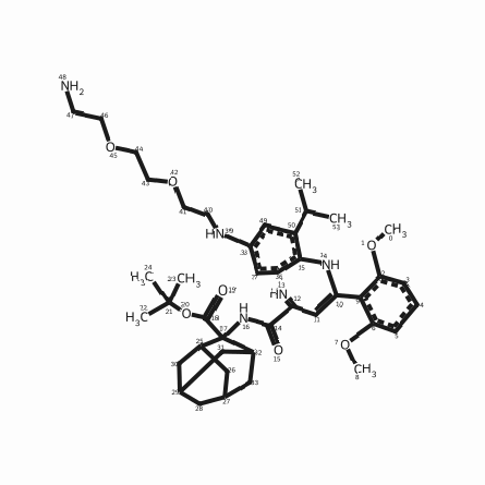 COc1cccc(OC)c1/C(=C/C(=N)C(=O)NC1(C(=O)OC(C)(C)C)C2CC3CC(C2)CC1C3)Nc1ccc(NCCOCCOCCN)cc1C(C)C